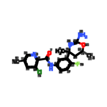 C[C@]1(c2cc(NC(=O)c3ncc(C#N)cc3Cl)ccc2F)C[C@@H](C(F)(F)F)OC(N)=N1